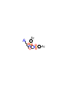 CC(=O)c1ccc(S(=O)(=O)N2CCC3(CC2)OCC(CCCCN(C)C)N3S(=O)(=O)c2ccc(C(C)=O)cc2)cc1